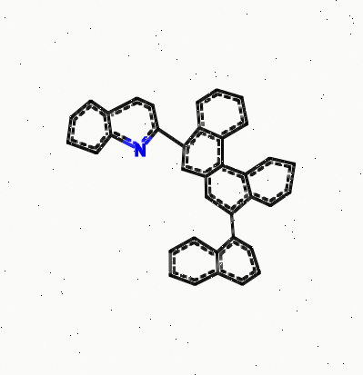 c1ccc2nc(-c3cc4cc(-c5cccc6ccccc56)c5ccccc5c4c4ccccc34)ccc2c1